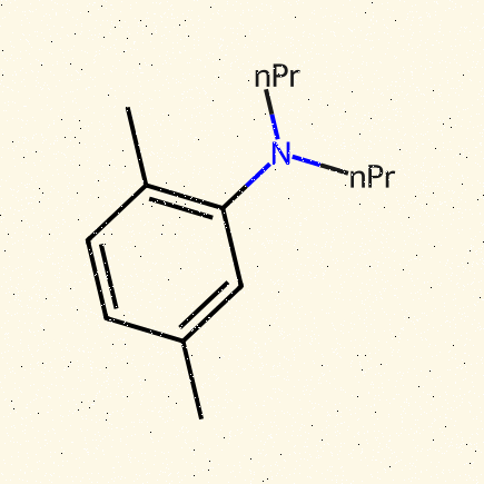 CCCN(CCC)c1cc(C)ccc1C